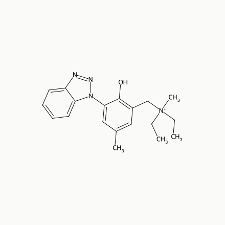 CC[N+](C)(CC)Cc1cc(C)cc(-n2nnc3ccccc32)c1O